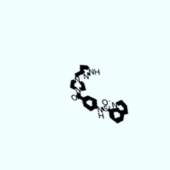 O=C(c1ccc(N[S+]([O-])c2cccc3cccnc23)cc1)N1CCN(Cc2cc[nH]n2)CC1